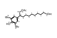 CCCCCCCCCCCCCCCCCCC(SOC(C)=O)c1cc(C(C)(C)C)c(O)c(C(C)(C)C)c1